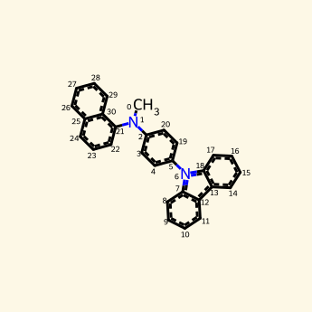 CN(c1ccc(-n2c3ccccc3c3ccccc32)cc1)c1cccc2ccccc12